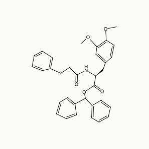 COc1ccc(C[C@H](NC(=O)CCc2ccccc2)C(=O)OC(c2ccccc2)c2ccccc2)cc1OC